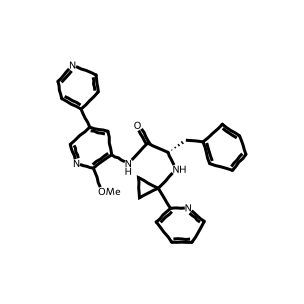 COc1ncc(-c2ccncc2)cc1NC(=O)[C@H](Cc1ccccc1)NC1(c2ccccn2)CC1